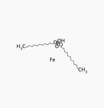 CCCCCCCCCCCCOP(=O)(O)OCCCCCCCCCCCC.[Fe]